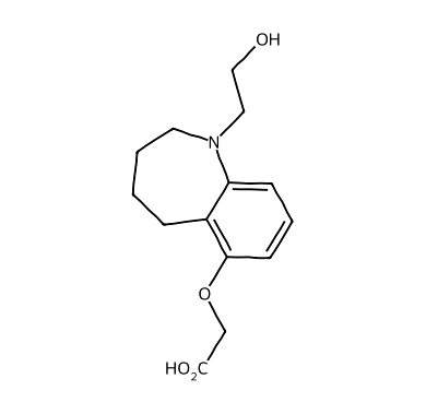 O=C(O)COc1cccc2c1CCCCN2CCO